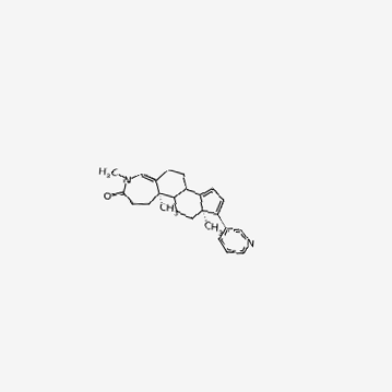 CN1C=C2CCC3C4=CC=C(c5cccnc5)[C@@]4(C)CCC3[C@@]2(C)CCC1=O